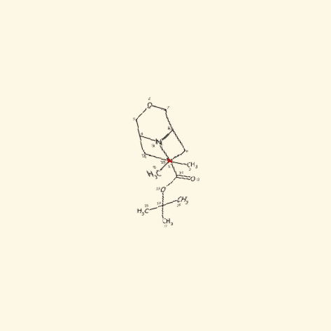 CC(C)N1C2COCC1CN(C(=O)OC(C)(C)C)C2